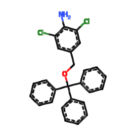 Nc1c(Cl)cc(COC(c2ccccc2)(c2ccccc2)c2ccccc2)cc1Cl